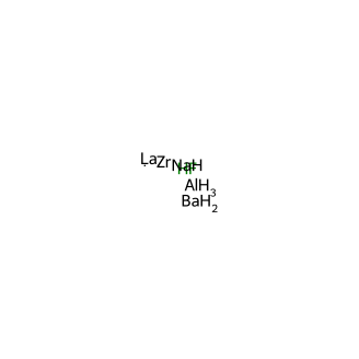 F.[AlH3].[BaH2].[La].[NaH].[Zr]